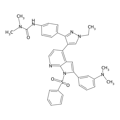 CCn1cc(-c2ccnc3c2cc(-c2cccc(N(C)C)c2)n3S(=O)(=O)c2ccccc2)c(-c2ccc(NC(=O)N(C)C)cc2)n1